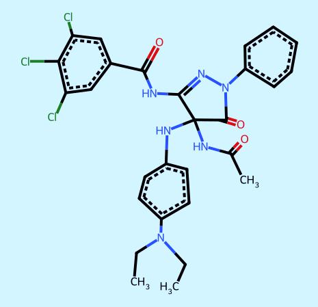 CCN(CC)c1ccc(NC2(NC(C)=O)C(=O)N(c3ccccc3)N=C2NC(=O)c2cc(Cl)c(Cl)c(Cl)c2)cc1